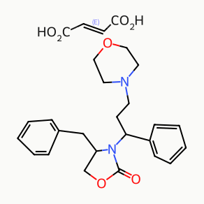 O=C(O)/C=C/C(=O)O.O=C1OCC(Cc2ccccc2)N1C(CCN1CCOCC1)c1ccccc1